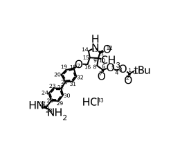 CC(C)(C)C(=O)OCOC(=O)CC1(C)C(=O)NCC1COc1ccc(-c2ccc(C(=N)N)cc2)cc1.Cl